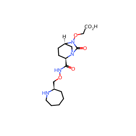 O=C(O)CON1C(=O)N2C[C@H]1CC[C@@H]2C(=O)NOC[C@H]1CCCCCN1